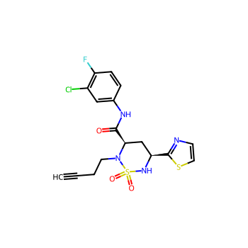 C#CCCN1[C@@H](C(=O)Nc2ccc(F)c(Cl)c2)C[C@@H](c2nccs2)NS1(=O)=O